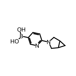 OB(O)c1ccc(N2CC3CC3C2)nc1